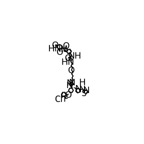 O=C1CCC(N2Cc3cc(NC(=O)CNCCCOCCCCCn4cc([C@]5(Cc6cccc(Nc7nccs7)n6)CC[C@@H](Oc6cccc(Cl)c6F)CC5)nn4)ccc3C2=O)C(=O)N1